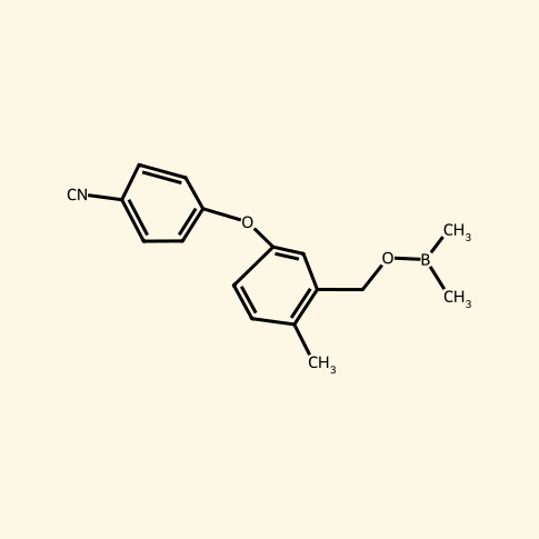 [C-]#[N+]c1ccc(Oc2ccc(C)c(COB(C)C)c2)cc1